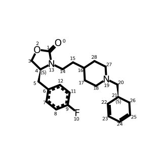 O=C1OC[C@H](Cc2ccc(F)cc2)N1CCC1CCN(C[C@@H]2C=CC=CC2)CC1